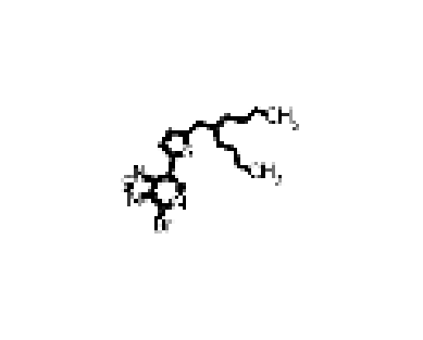 CCCCC(CCCC)Cc1ccc(-c2cnc(Br)c3nsnc23)s1